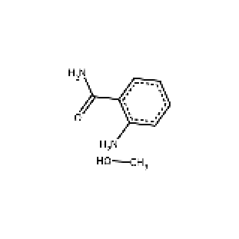 CO.NC(=O)c1ccccc1N